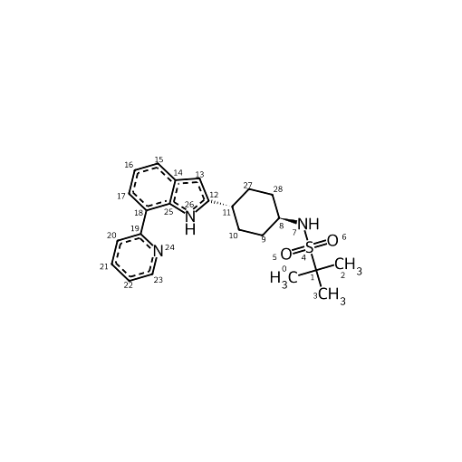 CC(C)(C)S(=O)(=O)N[C@H]1CC[C@H](c2cc3cccc(-c4ccccn4)c3[nH]2)CC1